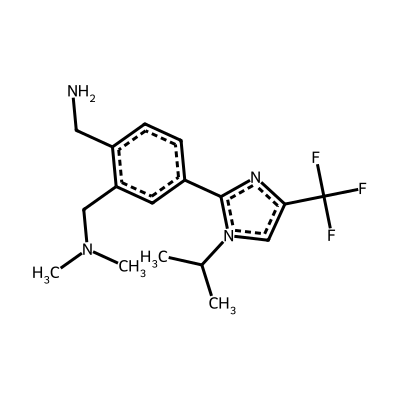 CC(C)n1cc(C(F)(F)F)nc1-c1ccc(CN)c(CN(C)C)c1